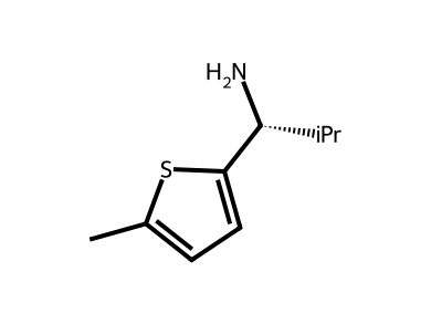 Cc1ccc([C@H](N)C(C)C)s1